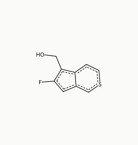 OCc1c(F)cc2csccc1-2